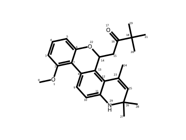 COc1cccc2c1-c1ccc3c(c1C(CC(=O)C(C)(C)C)O2)C(C)=CC(C)(C)N3